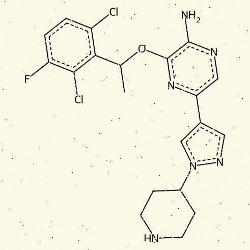 CC(Oc1nc(-c2cnn(C3CCNCC3)c2)cnc1N)c1c(Cl)ccc(F)c1Cl